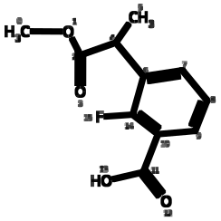 COC(=O)C(C)c1cccc(C(=O)O)c1F